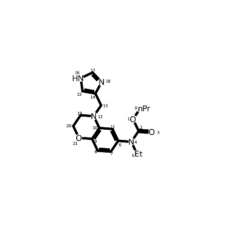 CCCOC(=O)N(CC)c1ccc2c(c1)N(Cc1c[nH]cn1)CCO2